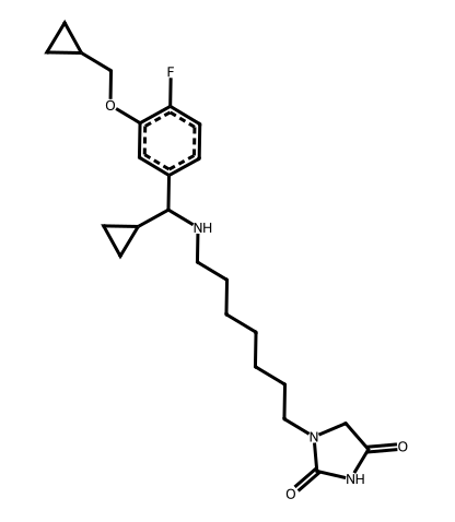 O=C1CN(CCCCCCCNC(c2ccc(F)c(OCC3CC3)c2)C2CC2)C(=O)N1